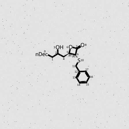 CCCCCCCCCCCC(O)C[C@H]1OC(=O)[C@@H]1SCc1ccccc1